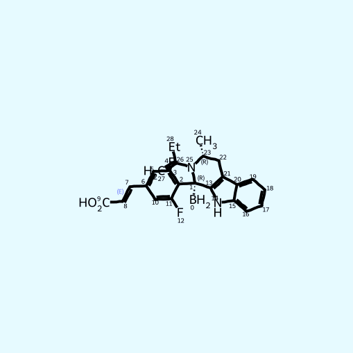 B[C@@]1(c2c(F)cc(/C=C/C(=O)O)cc2F)c2[nH]c3ccccc3c2C[C@@H](C)N1C(=C)CC